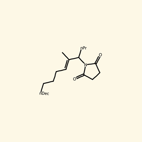 CCCCCCCCCCCCCC=C(C)C(CCC)N1C(=O)CCC1=O